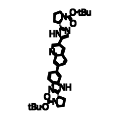 CC(C)(C)OC(=O)N1CCC[C@H]1c1ncc(-c2cnc3cc(-c4ccc5nc([C@@H]6CCCN6C(=O)OC(C)(C)C)[nH]c5c4)ccc3c2)[nH]1